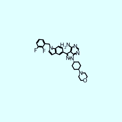 Nc1ncnc2c1c(-c1ccc3c(ccn3Cc3cccc(F)c3F)c1)nn2[C@H]1CC[C@H](N2CCOCC2)CC1